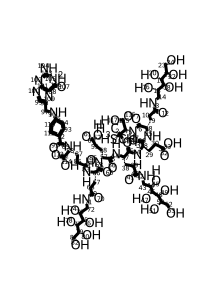 CC(C)(S)[C@@H](NC(=O)[C@H](CCC(=O)NC[C@H](O)[C@@H](O)[C@H](O)[C@H](O)CO)NC(=O)[C@@H](CCC(=O)O)NC(=O)[C@H](CCC(=O)NC[C@H](O)[C@@H](O)[C@H](O)[C@H](O)CO)NC(=O)[C@@H](CCC(=O)O)NC(=O)[C@H](CCC(=O)NC[C@H](O)[C@@H](O)[C@H](O)[C@H](O)CO)NC(=O)CC[C@@H](NC(=O)c1ccc(NCc2cnc3nc(N)[nH]c(=O)c3n2)cc1)C(=O)O)C(=O)O